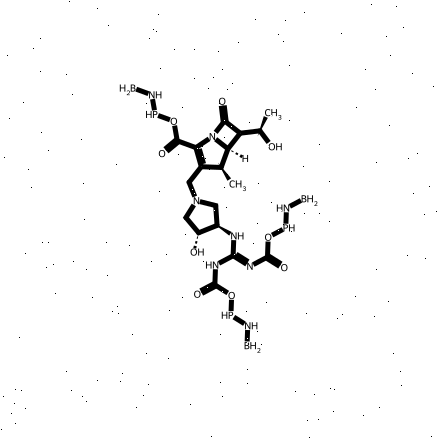 BNPOC(=O)/N=C(/NC(=O)OPNB)N[C@@H]1CN(CC2=C(C(=O)OPNB)N3C(=O)C([C@@H](C)O)[C@H]3[C@H]2C)C[C@H]1O